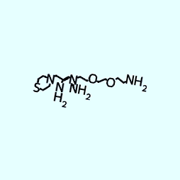 NCCOCCOCCN(N)/C=C(\N)CN1CCSCC1